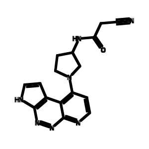 N#CCC(=O)NC1CCN(c2ccnc3nnc4[nH]ccc4c23)C1